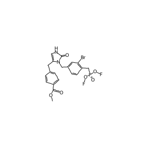 COC(=O)c1ccc(Cc2c[nH]c(=O)n2Cc2ccc(CP(=O)(OF)OF)c(Br)c2)cc1